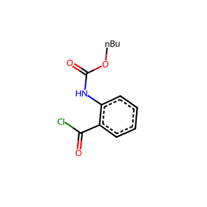 CCCCOC(=O)Nc1ccccc1C(=O)Cl